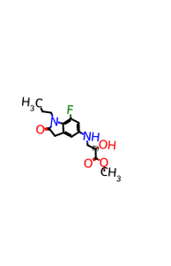 CCCN1C(=O)Cc2cc(NC[C@@H](O)C(=O)OC)cc(F)c21